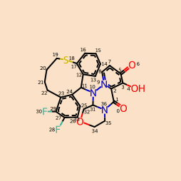 O=C1c2c(O)c(=O)ccn2N(C2c3ccccc3SCCCCc3c2ccc(F)c3F)C2COCCN12